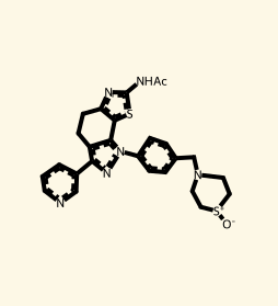 CC(=O)Nc1nc2c(s1)-c1c(c(-c3cccnc3)nn1-c1ccc(CN3CC[S+]([O-])CC3)cc1)CC2